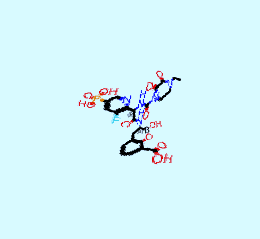 CCN1CCN(C(=O)N[C@@H](C(=O)N[C@H]2Cc3cccc(C(=O)O)c3OB2O)c2ncc(P(=O)(O)O)cc2F)C(=O)C1=O